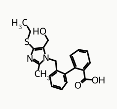 CCSc1nc(C)n(Cc2ccccc2-c2ccccc2C(=O)O)c1CO